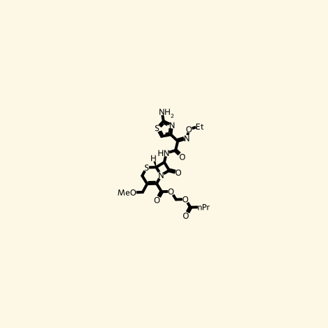 CCCC(=O)OCOC(=O)C1=C(COC)CS[C@@H]2C(NC(=O)/C(=N/OCC)c3csc(N)n3)C(=O)N12